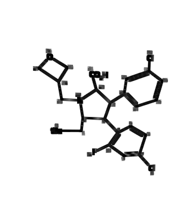 CC(C)(C)CC1C(c2ccc(Cl)cc2F)C(c2cccc(Cl)c2)C(C(=O)O)N1CC1COC1